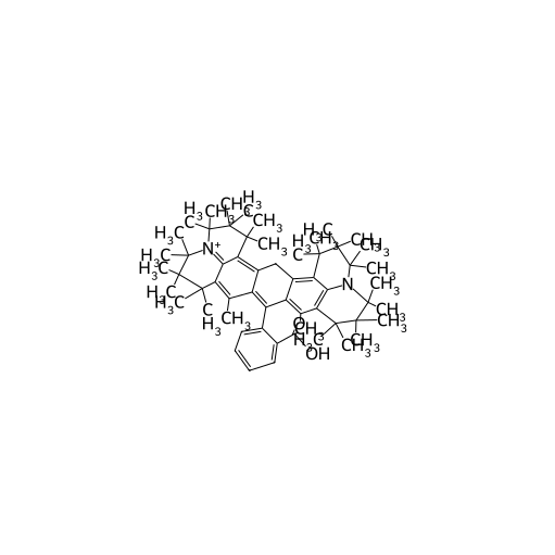 Cc1c2c(c3c4c1C(C)(C)C(C)(C)C(C)(C)N4C(C)(C)C(C)(C)C3(C)C)Cc1c3c4c(c(C)c1=C2c1ccccc1C(=O)O)C(C)(C)C(C)(C)C(C)(C)[N+]=4C(C)(C)C(C)(C)C3(C)C